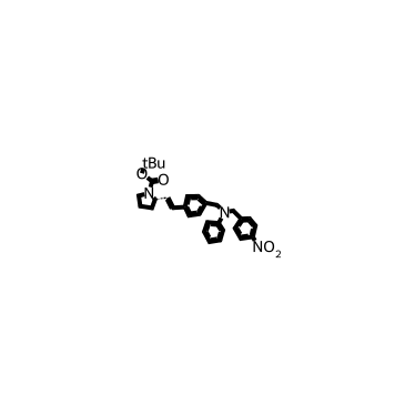 CC(C)(C)OC(=O)N1CCC[C@H]1/C=C/c1ccc(CN(Cc2ccc([N+](=O)[O-])cc2)c2ccccc2)cc1